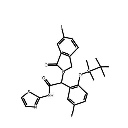 CC(C)(C)[Si](C)(C)Oc1ccc(F)cc1C(C(=O)Nc1nccs1)N1Cc2ccc(I)cc2C1=O